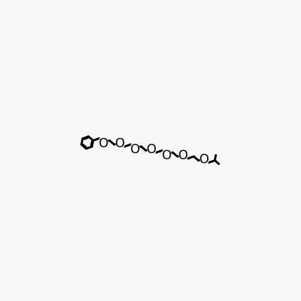 CC(C)COCCCOCCOCCOCCOCCOCCOCc1ccccc1